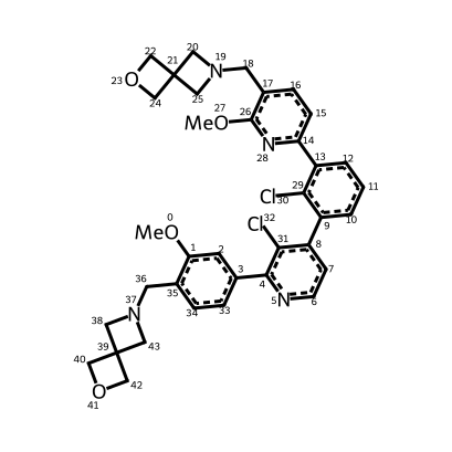 COc1cc(-c2nccc(-c3cccc(-c4ccc(CN5CC6(COC6)C5)c(OC)n4)c3Cl)c2Cl)ccc1CN1CC2(COC2)C1